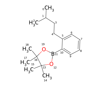 CC(C)CCc1ccccc1B1OC(C)(C)C(C)(C)O1